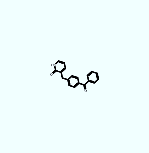 O=C(c1ccccc1)c1ccc(Cc2ccc[nH]c2=O)cc1